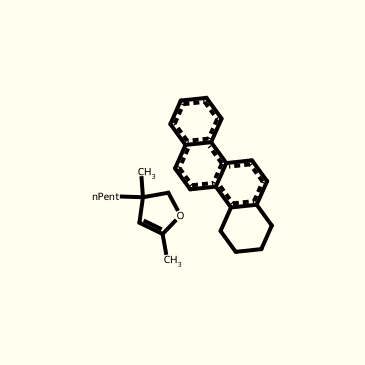 CCCCCC1(C)C=C(C)OC1.c1ccc2c(c1)ccc1c3c(ccc12)CCCC3